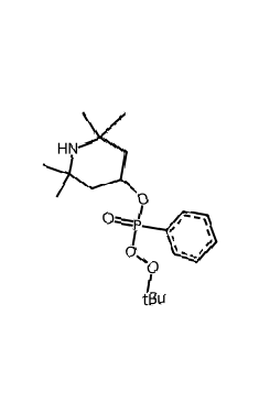 CC1(C)CC(OP(=O)(OOC(C)(C)C)c2ccccc2)CC(C)(C)N1